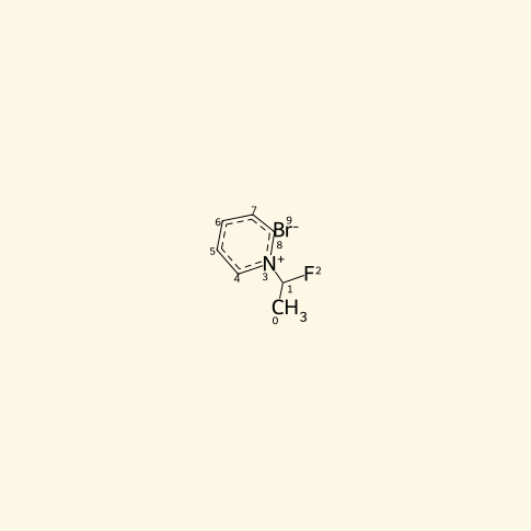 CC(F)[n+]1ccccc1.[Br-]